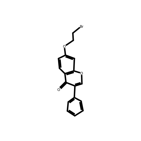 O=c1c(-c2ccccc2)coc2cc(OCCBr)ccc12